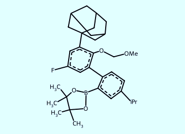 COCOc1c(-c2ccc(C(C)C)cc2B2OC(C)(C)C(C)(C)O2)cc(F)cc1C12CC3CC(CC(C3)C1)C2